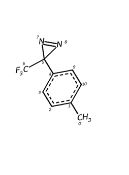 Cc1ccc(C2(C(F)(F)F)N=N2)cc1